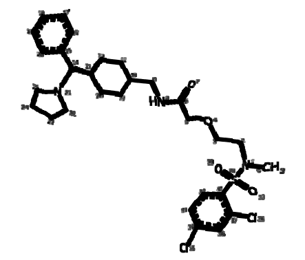 CN(CCOCC(=O)NCC1CCC(C(c2ccccc2)N2CCCC2)CC1)S(=O)(=O)c1ccc(Cl)cc1Cl